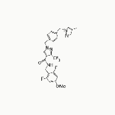 COc1cc(F)c(CNC(=O)c2cn(Cc3ccc(Cn4cc(C)cn4)cc3)nc2C(F)(F)F)c(F)c1